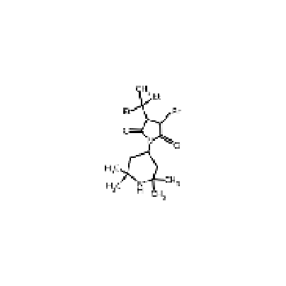 CCC(C)(CC)C1C(=O)N(C2CC(C)(C)NC(C)(C)C2)C(=O)C1C(C)C